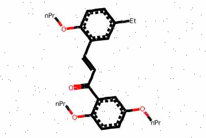 CCCOc1ccc(OCCC)c(C(=O)C=Cc2cc(CC)ccc2OCCC)c1